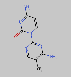 Nc1ccn(-c2ncc(C(F)(F)F)c(N)n2)c(=O)n1